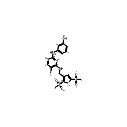 CS(=O)(=O)c1cc(CNc2nc(Nc3cccc(O)c3)ncc2F)c(S(C)(=O)=O)o1